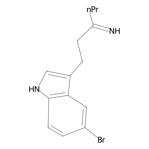 CCCC(=N)CCc1c[nH]c2ccc(Br)cc12